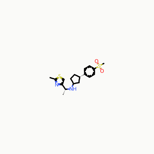 Cc1nc([C@@H](C)NC2CC[C@H](c3ccc(S(C)(=O)=O)cc3)C2)cs1